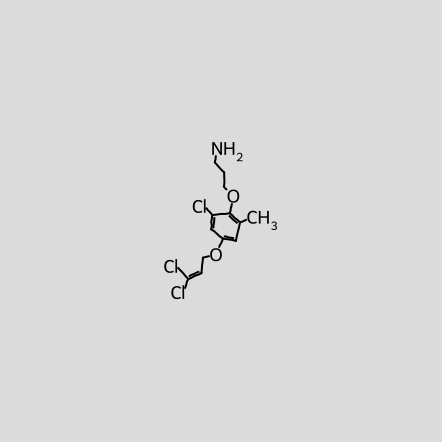 Cc1cc(OCC=C(Cl)Cl)cc(Cl)c1OCCCN